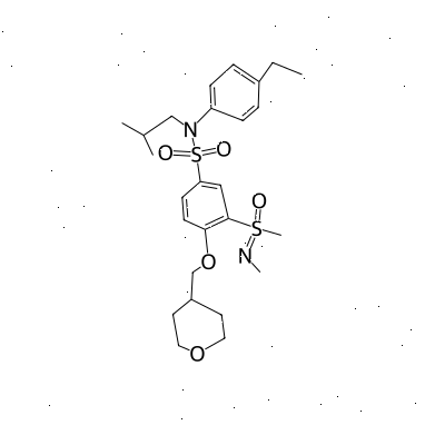 CCc1ccc(N(CC(C)C)S(=O)(=O)c2ccc(OCC3CCOCC3)c(S(C)(=O)=NC)c2)cc1